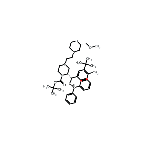 COC[C@@H]1CN(CCN2CCN(C(=O)OC(C)(C)C)[C@@H](C(O[SiH](c3ccccc3)c3ccccc3)c3ccc(C)c(C(C)(C)C)c3)C2)CCO1